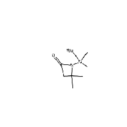 CC1(C)CC(=O)N1[Si](C)(C)C(C)(C)C